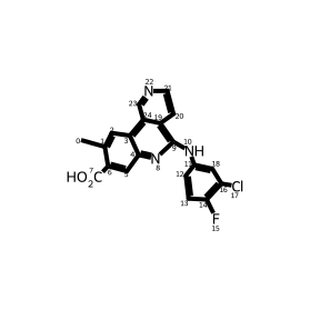 Cc1cc2c(cc1C(=O)O)nc(Nc1ccc(F)c(Cl)c1)c1ccncc12